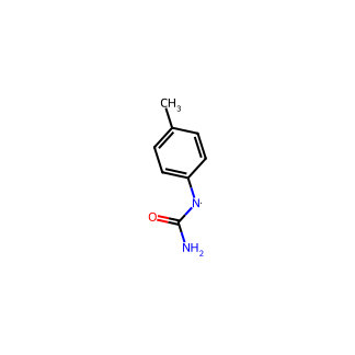 Cc1ccc([N]C(N)=O)cc1